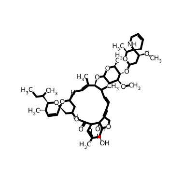 CCC(C)[C@H]1O[C@]2(C=C[C@@H]1C)C[C@@H]1C[C@@H](C/C=C(\C)[C@@H](OC3C[C@H](OC)[C@@H](OC4C[C@H](OC)[C@]5(CC=CCN5)[C@H](C)O4)[C@H](C)O3)C(C)/C=C/C=C3\CO[C@@H]4[C@H](O)C(C)=C[C@@H](C(=O)O1)[C@]34O)O2